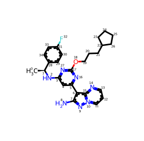 C[C@H](Nc1cc(-c2c(N)nn3cccnc23)nc(OCCCC2CCCC2)n1)c1ccc(F)cc1